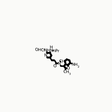 CCCNc1cc(/C=C/C(=O)N(C)Cc2c(C)oc3c(N)cccc23)cnc1NC=O